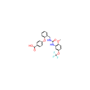 COc1ccc(OC(F)(F)F)cc1NC(=O)NCc1ccccc1Oc1ccc(C(=O)O)cc1